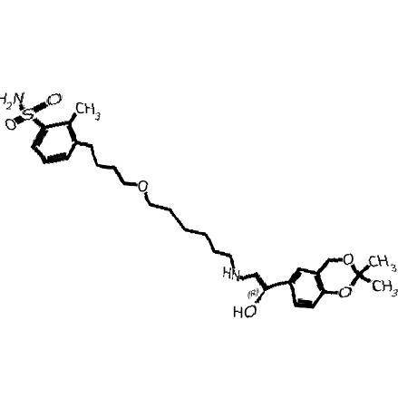 Cc1c(CCCCOCCCCCCNC[C@H](O)c2ccc3c(c2)COC(C)(C)O3)cccc1S(N)(=O)=O